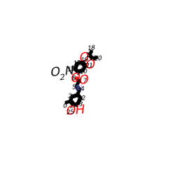 Cc1cc(/C=C/C(=O)Oc2cc3c(cc2[N+](=O)[O-])OC(C)C(C)O3)ccc1O